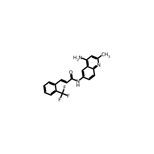 Cc1cc(N)c2cc(NC(=O)C=Cc3ccccc3C(F)(F)F)ccc2n1